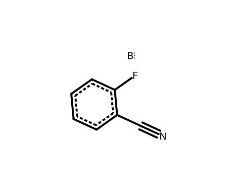 N#Cc1ccccc1F.[B]